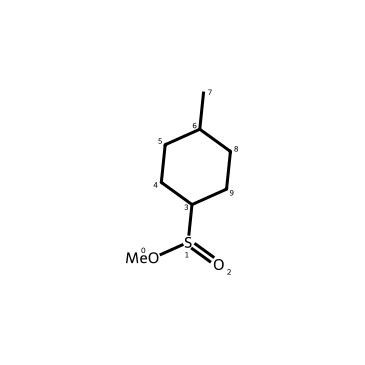 COS(=O)C1CCC(C)CC1